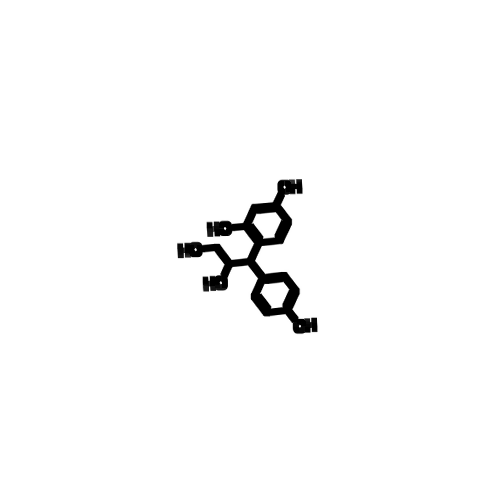 OCC(O)C(c1ccc(O)cc1)c1ccc(O)cc1O